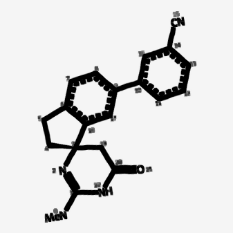 CNC1=N[C@@]2(CCc3ccc(-c4cccc(C#N)c4)cc32)CC(=O)N1